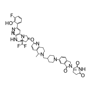 CC1c2ccc(O[C@H]3CN4c5cc(-c6cccc(F)c6O)nnc5NC[C@@]4(C(F)F)C3)nc2CCN1CC1CCN(c2ccc3c(c2)C(=O)N([C@H]2CCC(=O)NC2=O)C3)CC1